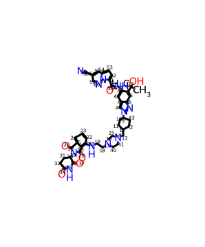 CC(C)(O)c1cc2nn(C3CCC(CN4CCN(CCNc5cccc6c5C(=O)N(C5CCC(=O)NC5=O)C6=O)CC4)CC3)cc2cc1NC(=O)c1ccc2cc(C#N)cnn12